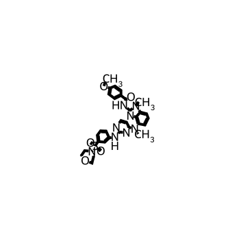 COc1ccc(C(=O)Nc2nc3c(N(C)c4ccnc(Nc5cccc(S(=O)(=O)N6CCOCC6)c5)n4)cccc3n2C)cc1